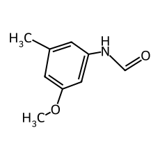 COc1cc(C)cc(NC=O)c1